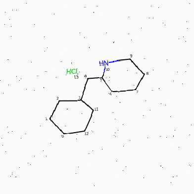 C1CCC(CC2CCCCN2)CC1.Cl